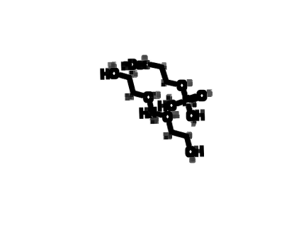 CCCCCCCCCCCCOP(=O)(O)O.OCCONOCCO